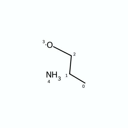 CCC[O].N